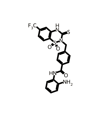 Nc1ccccc1NC(=O)c1ccc(CN2C(=S)Nc3cc(C(F)(F)F)ccc3S2(=O)=O)cc1